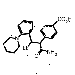 CCC(c1ccccc1N1CCCCC1)C(C(N)=O)c1ccc(C(=O)O)cc1